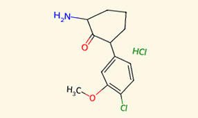 COc1cc(C2CCCC(N)C2=O)ccc1Cl.Cl